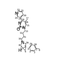 Cc1ccc([C@]23C[C@H]2CN(CCCCn2cc(C)c(-c4cccnc4)nc2=O)C3)cc1